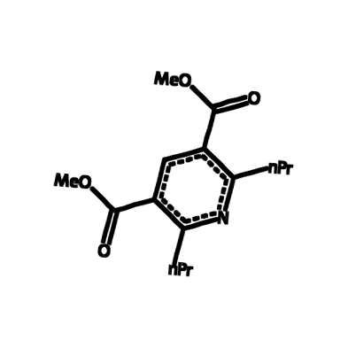 CCCc1nc(CCC)c(C(=O)OC)cc1C(=O)OC